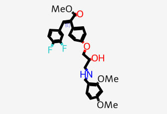 COC(=O)/C(=C/c1ccc(F)c(F)c1)c1ccc(OCC(O)CNCc2ccc(OC)cc2OC)cc1